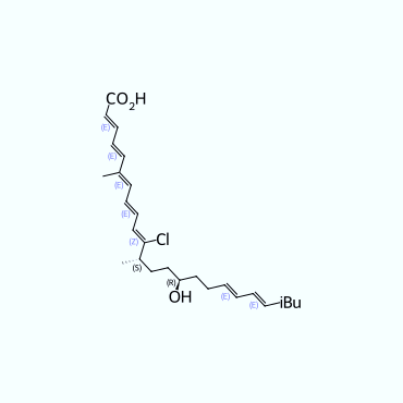 CCC(C)/C=C/C=C/CC[C@@H](O)CC[C@H](C)/C(Cl)=C/C=C/C=C(C)/C=C/C=C/C(=O)O